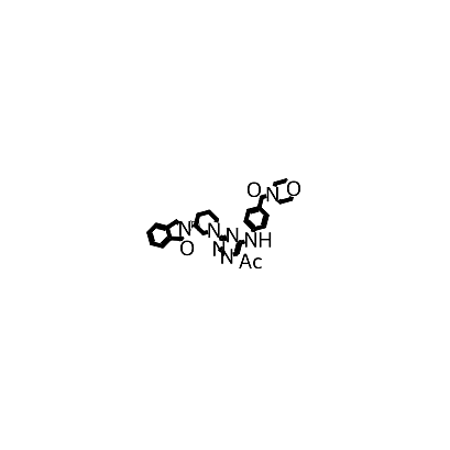 CC(=O)c1nnc(N2CCC[C@@H](N3Cc4ccccc4C3=O)C2)nc1Nc1ccc(C(=O)N2CCOCC2)cc1